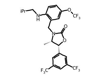 CC(C)CNc1ccc(OC(F)(F)F)cc1CN1C(=O)O[C@H](c2cc(C(F)(F)F)cc(C(F)(F)F)c2)[C@@H]1C